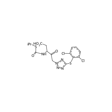 CC(C)SC(=O)NC(CC(=O)O)C(=O)Cn1nnc(Sc2c(Cl)cccc2Cl)n1